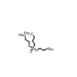 CCCCCCCCCCCCOP(=O)(CCCC(=O)OCC)OCCCCCCCCCCCC